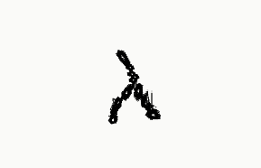 c1ccc2cc(-c3ccc4c(ccc5cc(N(c6ccc(-c7cnc8sc9ccccc9c8c7)cc6)c6ccc(-c7cnc8sc9ccccc9c8c7)cc6)ccc54)c3)ccc2c1